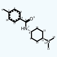 Cc1ccc(C(=O)N[C@H]2CC[C@H](N(C)C)CC2)cc1